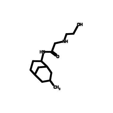 CC1CC2CCC(NC(=O)CNCCO)C(C1)C2